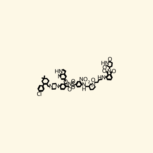 CC1(C)CCC(CN2CCN(c3ccc(C(=O)NS(=O)(=O)c4ccc(NCC5CCCN(C(=O)CCCNc6cccc7c6C(=O)N(C6CCC(=O)NC6=O)C7=O)C5)c([N+](=O)[O-])c4)c(Oc4cnc5[nH]ccc5c4)c3)CC2)=C(c2ccc(Cl)cc2)C1